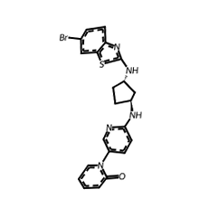 O=c1ccccn1-c1ccc(N[C@H]2CC[C@H](Nc3nc4ccc(Br)cc4s3)C2)nc1